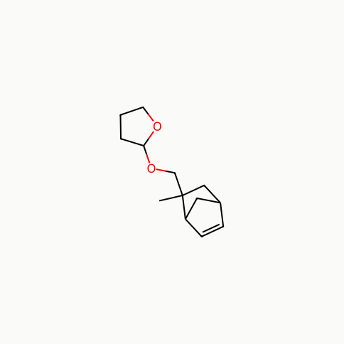 CC1(COC2CCCO2)CC2C=CC1C2